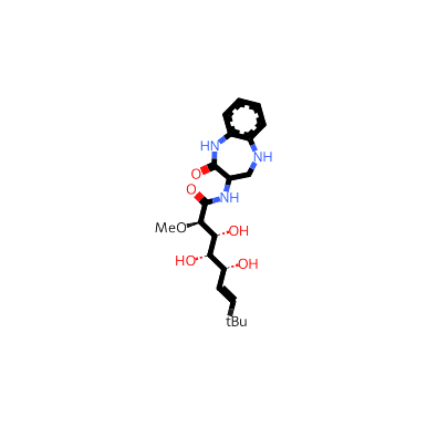 CO[C@@H](C(=O)NC1CNc2ccccc2NC1=O)[C@H](O)[C@@H](O)[C@H](O)C=CC(C)(C)C